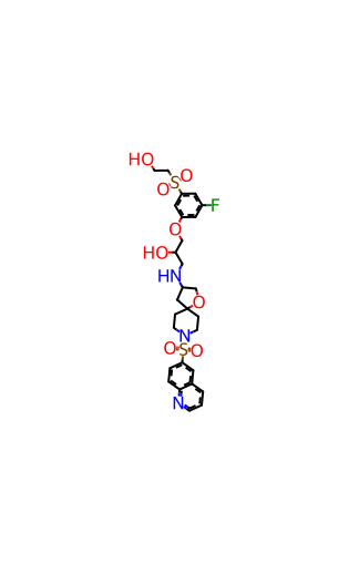 O=S(=O)(CCO)c1cc(F)cc(OCC(O)CNC2COC3(CCN(S(=O)(=O)c4ccc5ncccc5c4)CC3)C2)c1